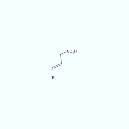 [CH2]C/C=C/CC(=O)O